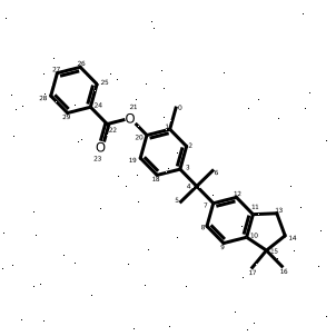 Cc1cc(C(C)(C)c2ccc3c(c2)CCC3(C)C)ccc1OC(=O)c1ccccc1